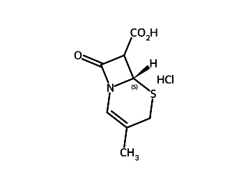 CC1=CN2C(=O)C(C(=O)O)[C@@H]2SC1.Cl